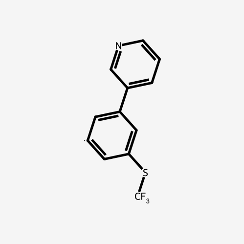 FC(F)(F)Sc1c[c]cc(-c2cccnc2)c1